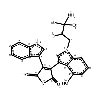 CCC(N)(CC)C(O)Cn1cc(C2=C(c3c[nH]c4ccccc34)C(=O)NC2=O)c2c(O)cccc21